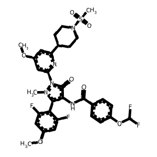 COc1cc(C2CCN(S(C)(=O)=O)CC2)nc(-n2c(=O)c(NC(=O)c3ccc(OC(F)F)cc3)c(-c3c(F)cc(OC)cc3F)n2C)c1